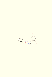 O=Cc1ccc2c(c1)-c1sc(C(=O)Nc3c(F)cccc3F)nc1CCC2